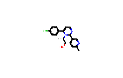 Cc1ccc(C2N=CC=C(c3ccc(Cl)cc3)N2[C@@H](C)CO)cn1